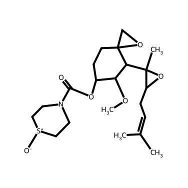 COC1C(OC(=O)N2CC[S+]([O-])CC2)CCC2(CO2)C1C1(C)OC1CC=C(C)C